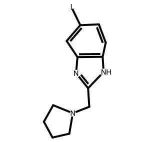 Ic1ccc2[nH]c(CN3CCCC3)nc2c1